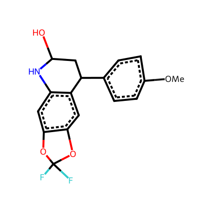 COc1ccc(C2CC(O)Nc3cc4c(cc32)OC(F)(F)O4)cc1